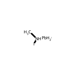 CNI.[PbH2]